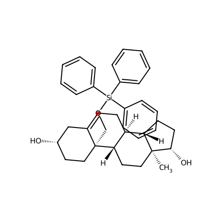 C[C@]12CC[C@H]3[C@@H](CC=C4C[C@@H](O)CC[C@@]43CO[Si](c3ccccc3)(c3ccccc3)c3ccccc3)[C@@H]1CC[C@@H]2O